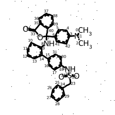 CN(C)c1ccc(C2(Nc3ccccc3-c3ccc(NS(=O)(=O)Cc4ccccc4)cc3)OC(=O)c3ccccc32)cc1